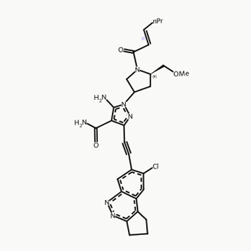 CCC/C=C/C(=O)N1CC(n2nc(C#Cc3cc4nnc5c(c4cc3Cl)CCC5)c(C(N)=O)c2N)C[C@@H]1COC